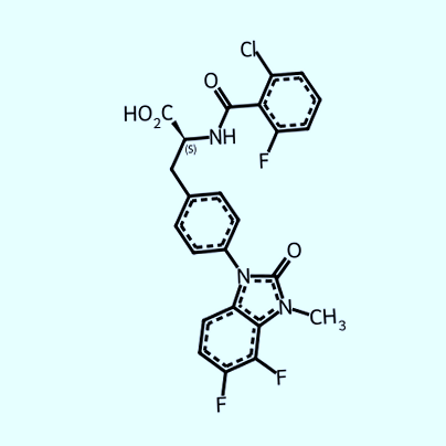 Cn1c(=O)n(-c2ccc(C[C@H](NC(=O)c3c(F)cccc3Cl)C(=O)O)cc2)c2ccc(F)c(F)c21